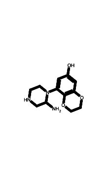 NC1CNCCN1c1cc(O)cc2c1OCCO2